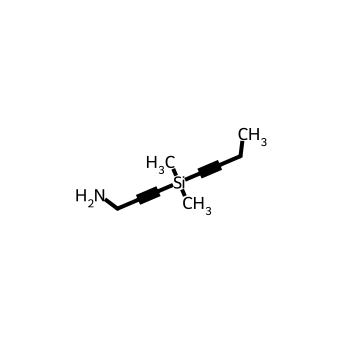 CCC#C[Si](C)(C)C#CCN